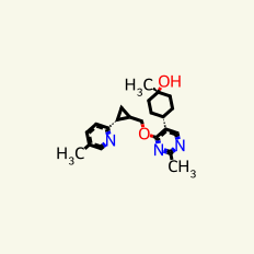 Cc1ccc([C@@H]2CC2COc2nc(C)ncc2[C@H]2CC[C@@](C)(O)CC2)nc1